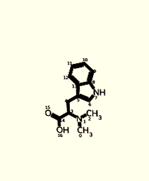 CN(C)C(Cc1c[nH]c2ccccc12)C(=O)O